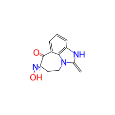 C=C1Nc2cccc3c2N1CC/C(=N\O)C3=O